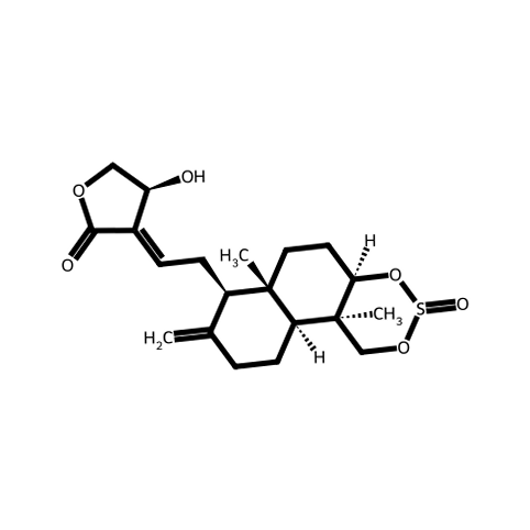 C=C1CC[C@@H]2[C@]3(C)COS(=O)O[C@@H]3CC[C@@]2(C)[C@@H]1C/C=C1/C(=O)OC[C@H]1O